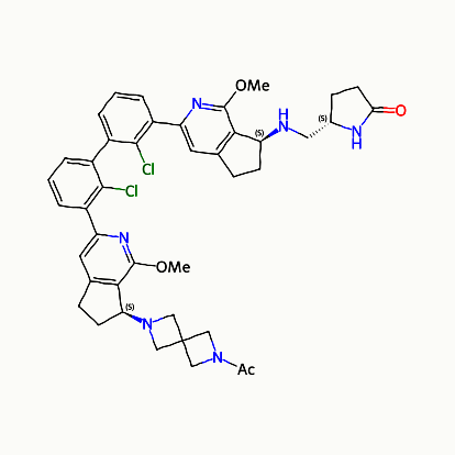 COc1nc(-c2cccc(-c3cccc(-c4cc5c(c(OC)n4)[C@@H](N4CC6(CN(C(C)=O)C6)C4)CC5)c3Cl)c2Cl)cc2c1[C@@H](NC[C@@H]1CCC(=O)N1)CC2